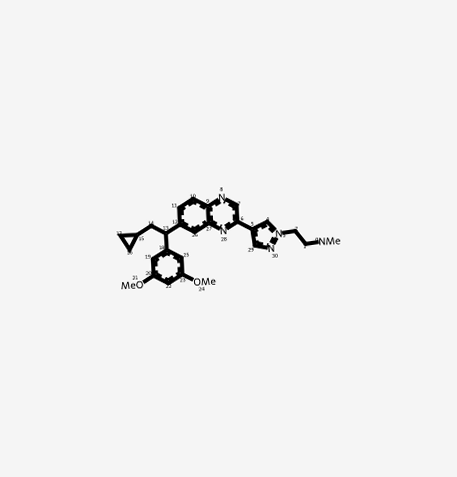 CNCCn1cc(-c2cnc3ccc(C(CC4CC4)c4cc(OC)cc(OC)c4)cc3n2)cn1